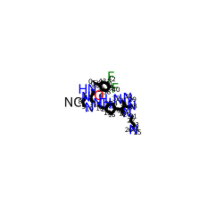 C[C@H](NC(=O)c1nc(C#N)cnc1NCc1ccc(-c2cn(CCCN(C)C)c3ncnc(N)c23)cc1)c1ccc(F)c(F)c1